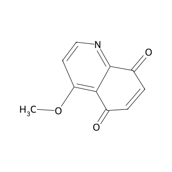 COc1ccnc2c1C(=O)C=CC2=O